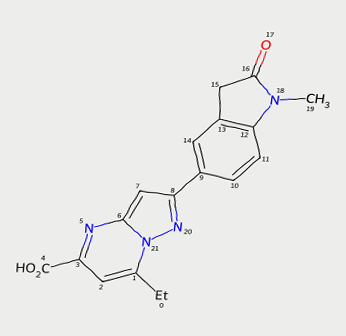 CCc1cc(C(=O)O)nc2cc(-c3ccc4c(c3)CC(=O)N4C)nn12